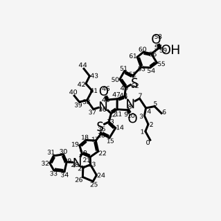 CCCCC(CC)CN1C(=O)C2=C(c3ccc(-c4ccc5c(c4)C4CCCC4N5c4ccccc4)s3)N(CC(CC)CCCC)C(=O)C2=C1c1ccc(-c2ccc(C(=O)O)cc2)s1